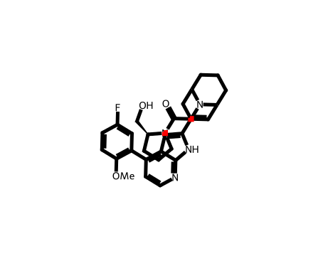 COc1ccc(F)cc1-c1ccnc2[nH]c(C3=CC4CCCC(C3)N4CC(=O)N3CCC[C@H]3CO)cc12